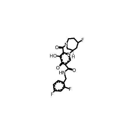 O=C(NCc1ccc(F)cc1F)c1cn2c(c(O)c1=O)C(=O)N1CCC(F)C[C@@H]2C1